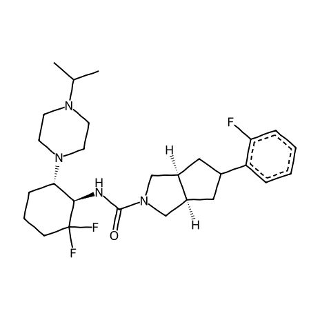 CC(C)N1CCN([C@H]2CCCC(F)(F)[C@@H]2NC(=O)N2C[C@H]3CC(c4ccccc4F)C[C@H]3C2)CC1